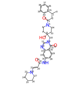 CC(CC(=O)N1CCC(O)(Cn2cnc3cc(NC(=O)/C=C/N4CCCCC4)ccc3c2=O)CC1)c1ccccc1